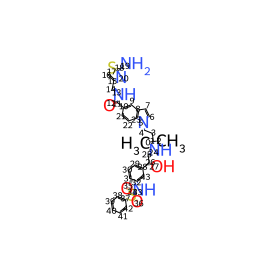 CC(C)(CCn1ccc2cc(C(=O)NCc3csc(N)n3)ccc21)NC[C@H](O)c1cccc(NS(=O)(=O)c2ccccc2)c1